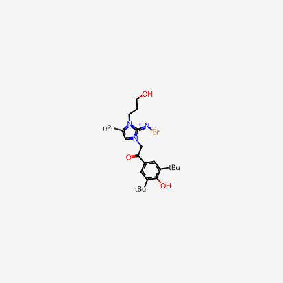 CCCc1cn(CC(=O)c2cc(C(C)(C)C)c(O)c(C(C)(C)C)c2)/c(=N\Br)n1CCCO